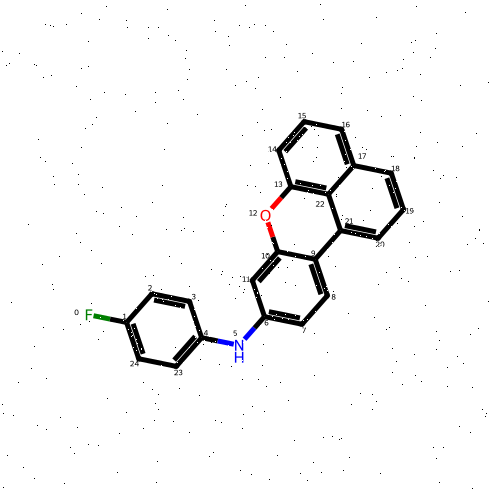 Fc1ccc(Nc2ccc3c(c2)Oc2cccc4cccc-3c24)cc1